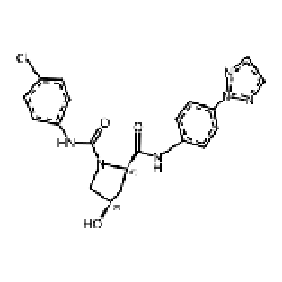 O=C(Nc1ccc(-n2nccn2)cc1)[C@H]1C[C@@H](O)CN1C(=O)Nc1ccc(Cl)cc1